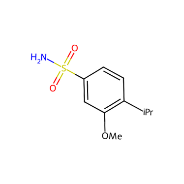 COc1cc(S(N)(=O)=O)ccc1C(C)C